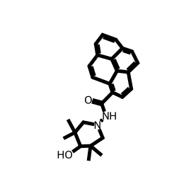 CC1(C)CN(NC(=O)c2ccc3ccc4cccc5ccc2c3c45)CC(C)(C)C1O